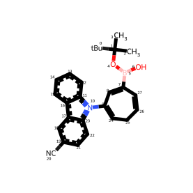 CC(C)(C)C(C)(C)OB(O)C1=CC(n2c3ccccc3c3cc(C#N)ccc32)=CCC=C1